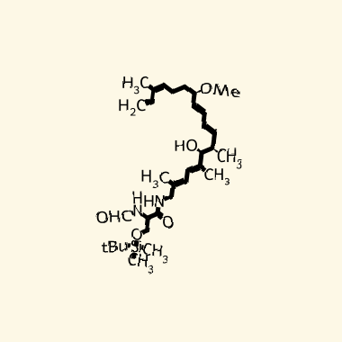 C=C/C(C)=C\CC[C@@H](/C=C/C=C/[C@H](C)[C@H](O)/C(C)=C/C=C(\C)CNC(=O)C(CO[Si](C)(C)C(C)(C)C)NC=O)OC